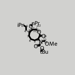 CCCO[C@@H]1[C@@H](CCC(C)C)CCC[C@H](N(COC)C(=O)OC(C)(C)C)C(=O)O[C@H]1C